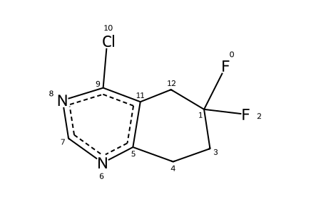 FC1(F)CCc2ncnc(Cl)c2C1